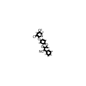 CC(Oc1ccc(Oc2ncc(C(F)(F)F)cc2Cl)cc1)C(=O)C(C#N)c1ccccc1